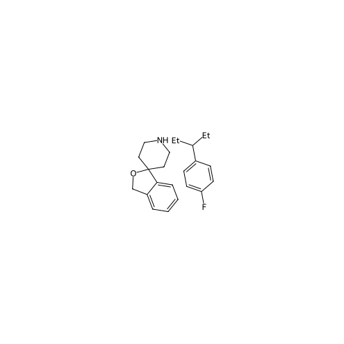 CCC(CC)c1ccc(F)cc1.c1ccc2c(c1)COC21CCNCC1